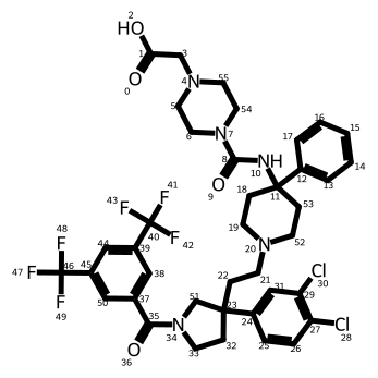 O=C(O)CN1CCN(C(=O)NC2(c3ccccc3)CCN(CCC3(c4ccc(Cl)c(Cl)c4)CCN(C(=O)c4cc(C(F)(F)F)cc(C(F)(F)F)c4)C3)CC2)CC1